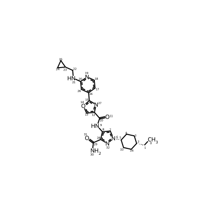 CC[C@H]1CC[C@@H](n2cc(NC(=O)c3coc(-c4ccnc(NCC5CC5)c4)n3)c(C(N)=O)n2)CC1